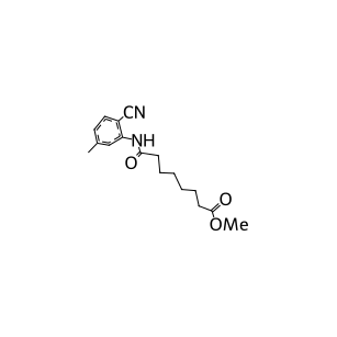 COC(=O)CCCCCCC(=O)Nc1cc(C)ccc1C#N